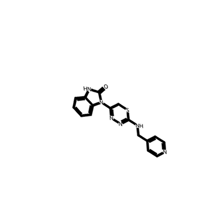 O=c1[nH]c2ccccc2n1C1=NN=C(NCc2ccncc2)SC1